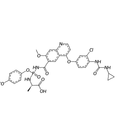 COc1ccc(OP(=O)(NC(=O)c2cc3c(Oc4ccc(NC(=O)NC5CC5)c(Cl)c4)ccnc3cc2OC)N[C@H](C)C(=O)O)cc1